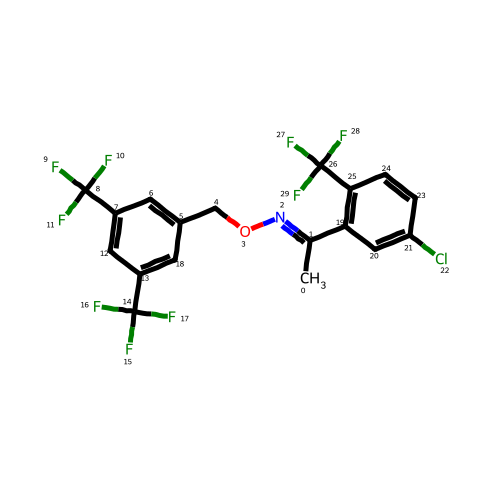 C/C(=N\OCc1cc(C(F)(F)F)cc(C(F)(F)F)c1)c1cc(Cl)ccc1C(F)(F)F